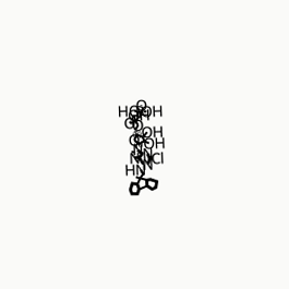 CC1(CNc2nc(Cl)nc3c2ncn3[C@@H]2O[C@H](COP(=O)(O)CP(=O)(O)O)C(O)C2O)c2ccccc2-c2ccccc21